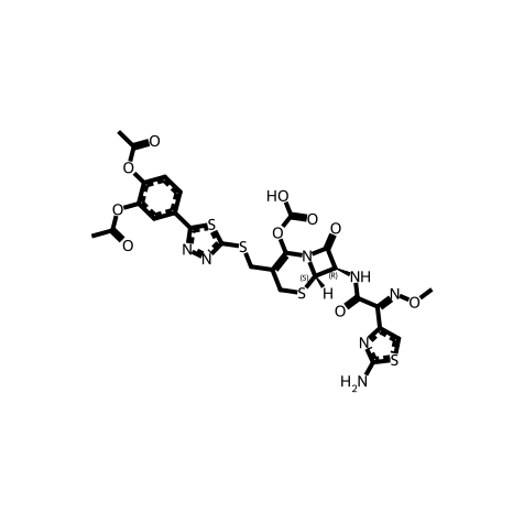 CON=C(C(=O)N[C@@H]1C(=O)N2C(OC(=O)O)=C(CSc3nnc(-c4ccc(OC(C)=O)c(OC(C)=O)c4)s3)CS[C@@H]12)c1csc(N)n1